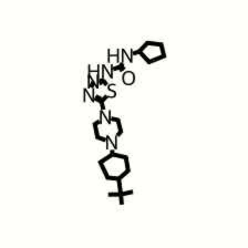 CC(C)(C)C1CCC(N2CCN(c3nnc(NC(=O)NC4CCCC4)s3)CC2)CC1